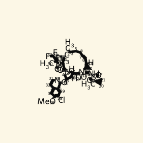 CC[C@@H]1C[C@H](C)CCC=C[C@@H]2C[C@@]2(C(=O)NS(=O)(=O)C2(C)CC2)NC(=O)[C@@H]2C[C@@H](Oc3nccc4cc(OC)c(Cl)cc34)CN2C(=O)[C@H]1N(C(=O)O)C(C)(C)C(F)F